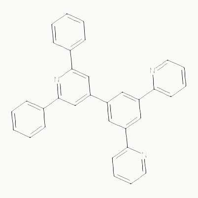 c1ccc(-c2cc(-c3cc(-c4ccccn4)cc(-c4ccccn4)c3)cc(-c3ccccc3)n2)cc1